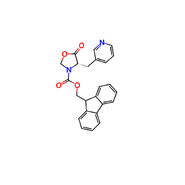 O=C1OCN(C(=O)OCC2c3ccccc3-c3ccccc32)[C@H]1Cc1cccnc1